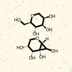 OC1[C@H]2O[CH][C@@H](O)[C@@H](O)[C@]12O.OC[C@H]1O[CH][C@@H](O)[C@@H](O)[C@@H]1O